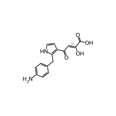 Nc1ccc(Cc2[nH]ccc2C(=O)/C=C(\O)C(=O)O)cc1